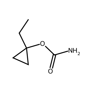 CCC1(OC(N)=O)CC1